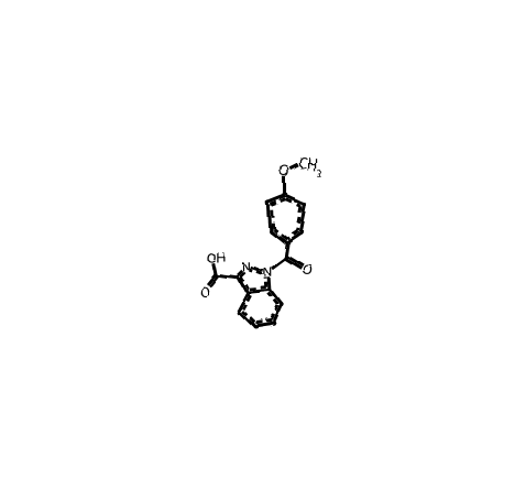 COc1ccc(C(=O)n2nc(C(=O)O)c3ccccc32)cc1